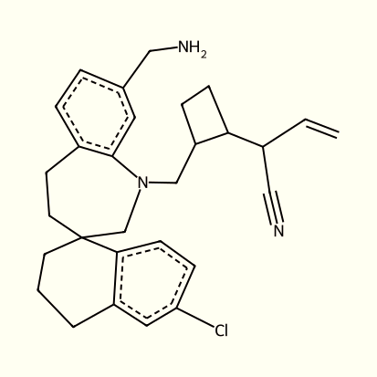 C=CC(C#N)C1CCC1CN1CC2(CCCc3cc(Cl)ccc32)CCc2ccc(CN)cc21